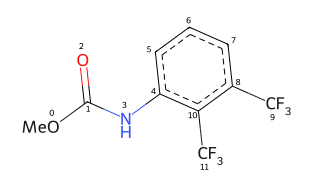 COC(=O)Nc1cccc(C(F)(F)F)c1C(F)(F)F